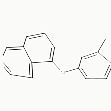 Cc1cccc([N]c2cccc3ccccc23)c1